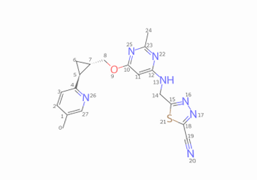 Cc1ccc([C@H]2C[C@@H]2COc2cc(NCc3nnc(C#N)s3)nc(C)n2)nc1